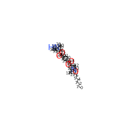 CCCCCCCCON1C(C(C)C)CC(OC(=O)c2ccc(C(=O)OC3CC(C)(C)NC(C)(C(C)C)C3)cc2)CC1(C)C